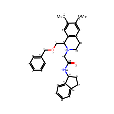 COc1cc2c(cc1OC)C(COCc1ccccc1)N(CC(=O)NC1CCc3ccccc31)CC2